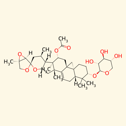 CC(=O)O[C@@H]1C[C@@]23C[C@@]24CC[C@H](O[C@@H]2OC[C@@H](O)[C@H](O)[C@H]2O)C(C)(C)[C@@H]4CC=C3[C@]2(C)C[C@@H]3O[C@]4(C[C@@H](C)[C@@H]3[C@@]12C)OC[C@@]1(C)O[C@@H]41